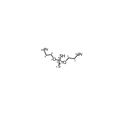 CC(C)CCOP(=S)(S)OCCC(C)C